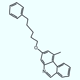 Cc1cc(OCCCCCc2ccccc2)cc2ncc3ccccc3c12